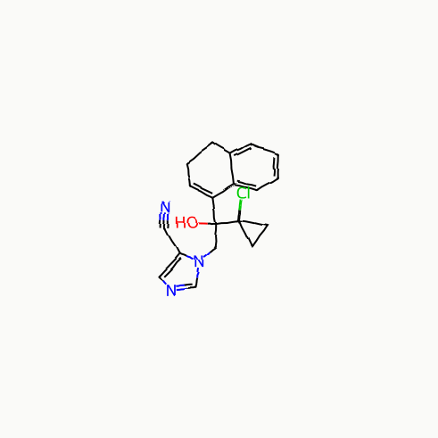 N#Cc1cncn1CC(O)(C1=CCCc2ccccc21)C1(Cl)CC1